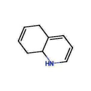 C1=CNC2CC=CCC2=C1